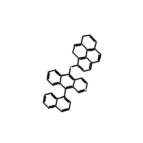 C1=Cc2ccc3ccc(Sc4c5ccccc5c(-c5cccc6ccccc56)c5cnccc45)c4c3c2C(=CC4)C1